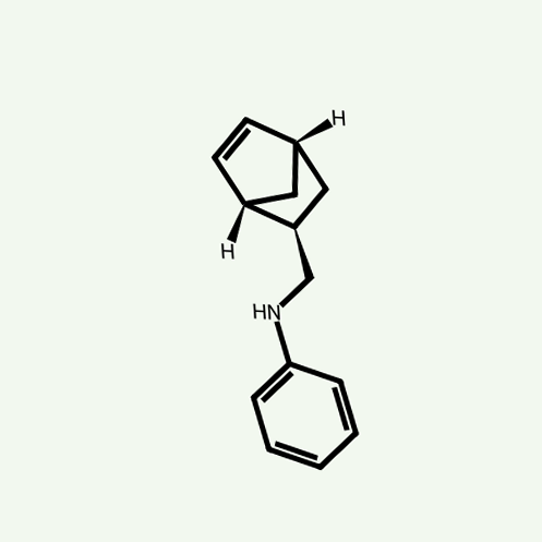 C1=C[C@@H]2C[C@H]1C[C@H]2CNc1ccccc1